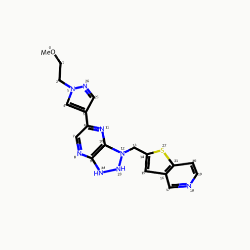 COCCn1cc(-c2cnc3c(n2)N(Cc2cc4cnccc4s2)NN3)cn1